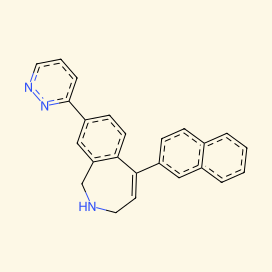 C1=C(c2ccc3ccccc3c2)c2ccc(-c3cccnn3)cc2CNC1